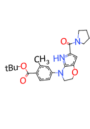 Cc1cc(N2CCOc3cc(C(=O)N4CCCC4)[nH]c32)ccc1C(=O)OC(C)(C)C